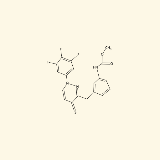 COC(=O)Nc1cccc(Cc2nn(-c3cc(F)c(F)c(F)c3)ccc2=S)c1